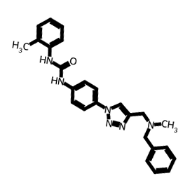 Cc1ccccc1NC(=O)Nc1ccc(-n2cc(CN(C)Cc3ccccc3)nn2)cc1